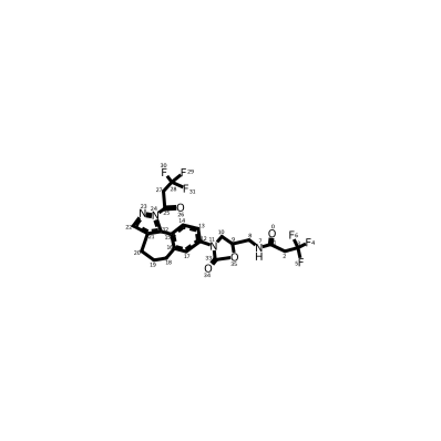 O=C(CC(F)(F)F)NCC1CN(c2ccc3c(c2)CCCc2cnn(C(=O)CC(F)(F)F)c2-3)C(=O)O1